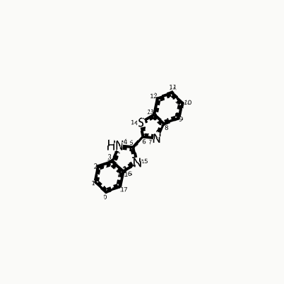 c1ccc2[nH]c(-c3nc4ccccc4s3)nc2c1